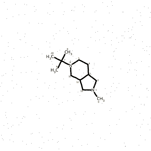 CN1CC2CCN(C(C)(C)C)CC2C1